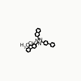 CC1(C)c2ccccc2-c2ccc(-c3nc(-c4ccc(-c5ccccc5)cc4)nc(-c4ccc5ccccc5c4)n3)cc21